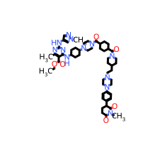 CCOC(=O)c1c(C)nc(Nc2cnn(C)c2)nc1NC1CCC(N2CCN(C(=O)C3CCC(C(=O)N4CCC(CCN5CCN(c6ccc(C7CCC(=O)N(C)C7=O)cc6)CC5)CC4)CC3)CC2)CC1